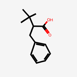 CC(C)(C)C(Cc1ccccc1)C(=O)O